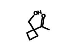 CC(=O)C1(CO)CCC1